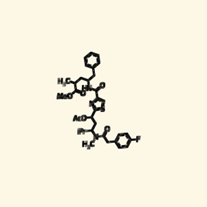 COC(=O)C(C)CC(Cc1ccccc1)NC(=O)c1csc(C(CC(C(C)C)N(C)C(=O)Cc2ccc(F)cc2)OC(C)=O)n1